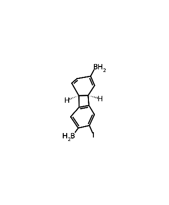 BC1=C[C@H]2c3cc(I)c(B)cc3[C@H]2C=C1